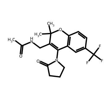 CC(=O)NCC1=C(N2CCCC2=O)c2cc(C(F)(F)F)ccc2OC1(C)C